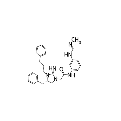 C/N=C/Nc1cccc(NC(=O)CN2C[C@H](Cc3ccccc3)N(CCCc3ccccc3)C2=N)c1